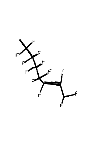 CC(F)(F)C(F)(F)C(F)(F)C(F)(F)/C(F)=C(\F)[C](F)F